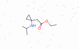 CCOC(=O)CC1(NC(C)C)CC1